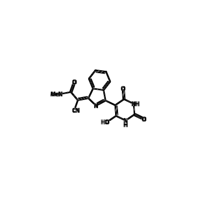 CNC(=O)C(C#N)=C1N=C(c2c(O)[nH]c(=O)[nH]c2=O)c2ccccc21